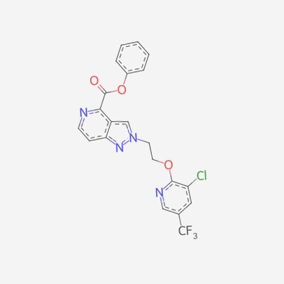 O=C(Oc1ccccc1)c1nccc2nn(CCOc3ncc(C(F)(F)F)cc3Cl)cc12